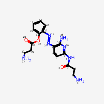 NCCC(=O)Nc1ccc(/N=N/c2ccccc2OC(=O)CCN)c(N)n1